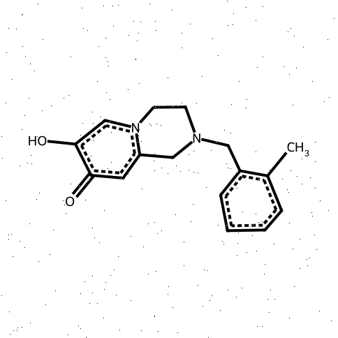 Cc1ccccc1CN1CCn2cc(O)c(=O)cc2C1